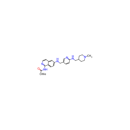 COC(=O)Nc1nccc2cc(NCc3ccc(NCC4CCN(C)CC4)nc3)ccc12